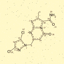 Cc1sc2nc(Cn3nc(Cl)cc3Cl)cc(=O)n2c1C(N)=O